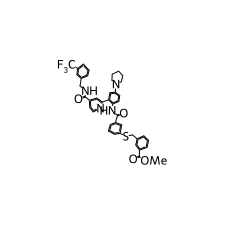 COC(=O)c1cccc(CSc2cccc(C(=O)Nc3ccc(N4CCCCC4)cc3-c3cc(C(=O)NCc4cccc(C(F)(F)F)c4)ccn3)c2)c1